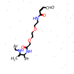 C=C(NCC(C)=O)C(NC(=O)COCCOCCNC(=O)/C=C\C=O)C(C)C